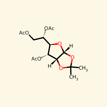 CC(=O)OC[C@H](OC(C)=O)[C@H]1O[C@@H]2OC(C)(C)O[C@@H]2[C@@H]1OC(C)=O